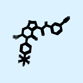 C[C@H]1Cn2ncc(C(=O)Nc3cccc(C#N)c3)c2C(=O)N1c1ccc(S(F)(F)(F)(F)F)cc1